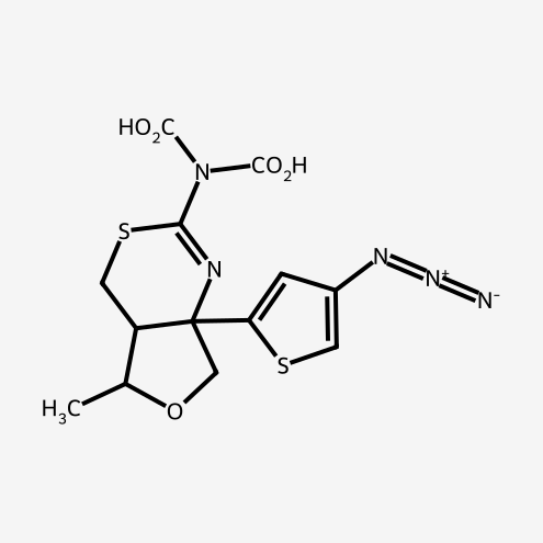 CC1OCC2(c3cc(N=[N+]=[N-])cs3)N=C(N(C(=O)O)C(=O)O)SCC12